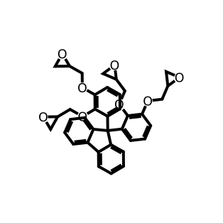 c1ccc2c(c1)-c1ccccc1C2(c1cccc(OCC2CO2)c1OCC1CO1)c1cccc(OCC2CO2)c1OCC1CO1